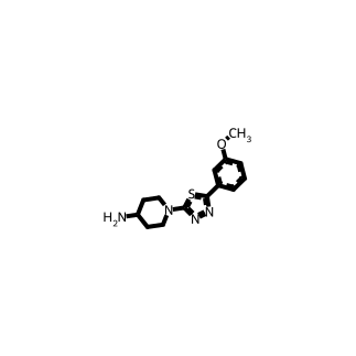 COc1cccc(-c2nnc(N3CCC(N)CC3)s2)c1